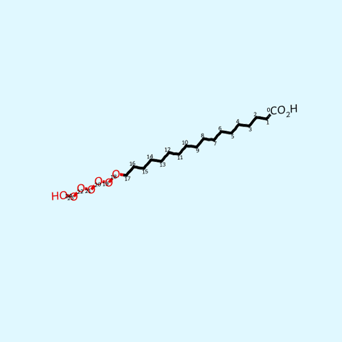 O=C(O)CCCCCCCCCCCCCCCCCOOOOOOO